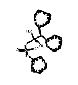 CC(C)(OP(=O)(O)Oc1ccccc1)C(c1ccccc1)c1ccccc1